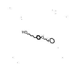 OCCCCCc1ccc(OCCCN2CCCCCC2)cc1